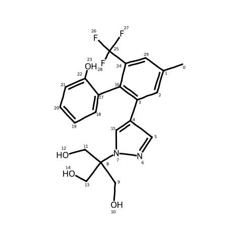 Cc1cc(-c2cnn(C(CO)(CO)CO)c2)c(-c2ccccc2O)c(C(F)(F)F)c1